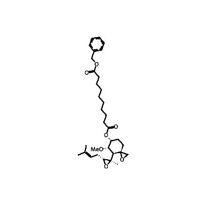 CO[C@@H]1[C@H](OC(=O)CCCCCCCCC(=O)OCc2ccccc2)CC[C@]2(CO2)[C@H]1[C@@]1(C)O[C@@H]1CC=C(C)C